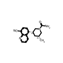 C[C@@H]1C[C@H](c2ccc(C#N)c3ncccc23)CN(C(N)=O)C1